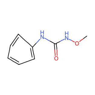 CONC(=O)Nc1ccccc1